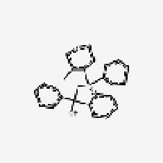 Cc1ccccc1P(=O)(CC(O)(c1ccccc1)c1ccccc1)c1ccccc1